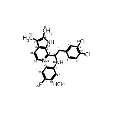 Cc1[nH]c2c(C(Cc3ccc(Cl)c(Cl)c3)Nc3ccc(F)cc3)nccc2c1C.Cl